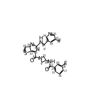 C[C@H](Nc1nc(C(=O)N2CC(NC(=O)c3cccc(F)c3)C2)c2sccc2n1)c1cncc(F)c1